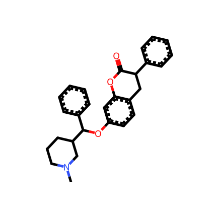 CN1CCCC(C(Oc2ccc3c(c2)OC(=O)C(c2ccccc2)C3)c2ccccc2)C1